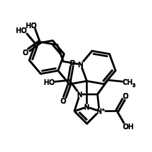 CCC1N(C(=O)O)C2=C[N+]1(C(=O)O)N2C1(C(=O)c2ccc(O)cc2)C=CC=CN1CCC(=O)O